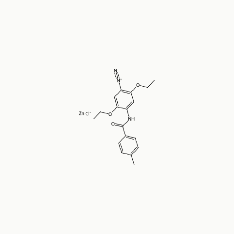 CCOc1cc(NC(=O)c2ccc(C)cc2)c(OCC)cc1[N+]#N.[Cl-].[Zn]